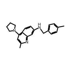 Cc1ccc(CNc2ccc3c(N4CCCC4)cc(C)nc3c2)cc1